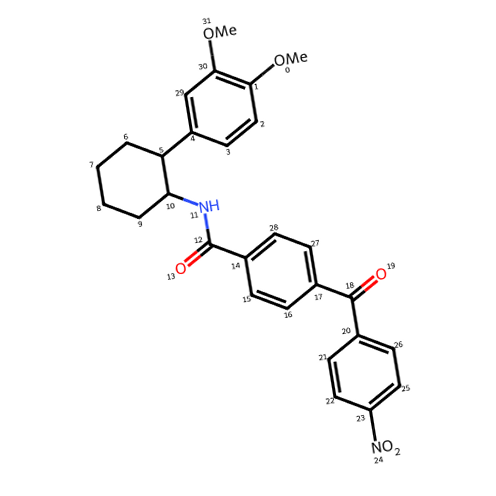 COc1ccc(C2CCCCC2NC(=O)c2ccc(C(=O)c3ccc([N+](=O)[O-])cc3)cc2)cc1OC